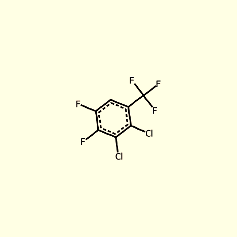 Fc1cc(C(F)(F)F)c(Cl)c(Cl)c1F